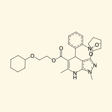 CC1=C(C(=O)OCCOC2CCCCC2)C(c2ccccc2[N+](=O)[O-])c2c(C3CCCC3)nn(C)c2N1